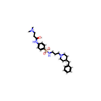 CN(C)CCC(=O)Nc1ccc(S(=O)(=O)NCCCN2CCC(Cc3ccccc3)CC2)cc1